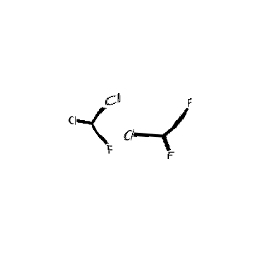 FC(Cl)Cl.FC(F)Cl